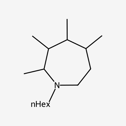 CCCCCCN1CCC(C)C(C)C(C)C1C